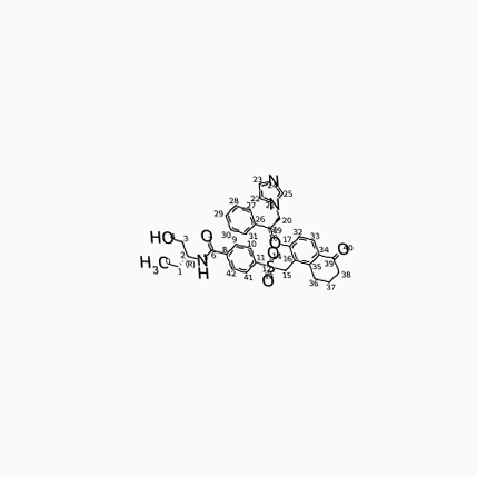 CC[C@H](CO)NC(=O)c1ccc(S(=O)(=O)Cc2c(O[C@H](Cn3ccnc3)c3ccccc3)ccc3c2CCCC3=O)cc1